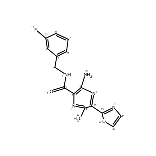 Cc1nc(C(=O)NCc2cccc(F)c2)c(N)nc1-c1ncco1